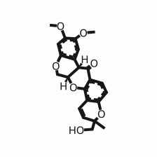 COc1cc2c(cc1OC)[C@@H]1C(=O)c3ccc4c(c3O[C@@H]1CO2)C=CC(C)(CO)O4